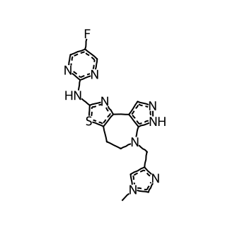 Cn1cnc(CN2CCc3sc(Nc4ncc(F)cn4)nc3-c3cn[nH]c32)c1